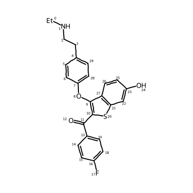 CCNCCc1ccc(Oc2c(C(=O)c3ccc(F)cc3)sc3cc(O)ccc23)cc1